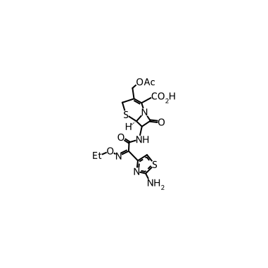 CCO/N=C(\C(=O)NC1C(=O)N2C(C(=O)O)=C(COC(C)=O)CS[C@H]12)c1csc(N)n1